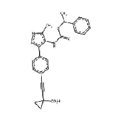 Cc1nsc(-c2ccc(C#CC3(C(=O)O)CC3)cc2)c1NC(=O)OC(C)c1ccccc1